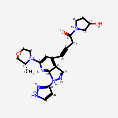 C[C@@H]1COCCN1c1cc(C#CCC(=O)N2CCC(O)C2)c2cnn(-c3cc[nH]n3)c2n1